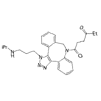 CCC(=O)CCC(=O)N1Cc2ccccc2-c2c(nnn2CCCNC(C)C)-c2ccccc21